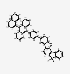 CC1(C)c2ccccc2-c2c1ccc1c2oc2ccc(-c3ccc(-c4c5ccccc5c(-c5cccc6ccccc56)c5ccccc45)cc3)cc21